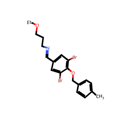 CCOCCC/N=C/c1cc(Br)c(OCc2ccc(C)cc2)c(Br)c1